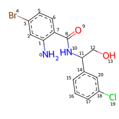 Nc1cc(Br)ccc1C(=O)NC(CO)c1cccc(Cl)c1